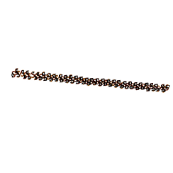 S=S=S=S=S=S=S=S=S=S=S=S=S=S=S=S=S=S=S=S=S=S=S=S=S=S=S=S=S=S=S=S=S=S=S=S=S=S=S=S=S=S=S=S=S=S=S=S=S=S=S=S=S=S=S=S=S=S